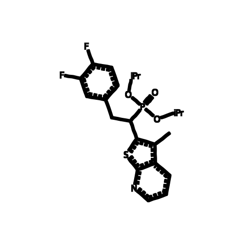 Cc1c(C(Cc2ccc(F)c(F)c2)P(=O)(OC(C)C)OC(C)C)sc2ncccc12